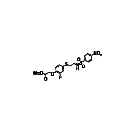 COC(=O)COc1ccc(SCCNS(=O)(=O)c2ccc([N+](=O)[O-])cc2)cc1F